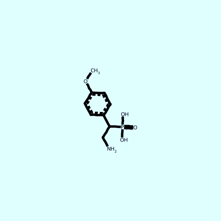 COc1ccc(C(CN)P(=O)(O)O)cc1